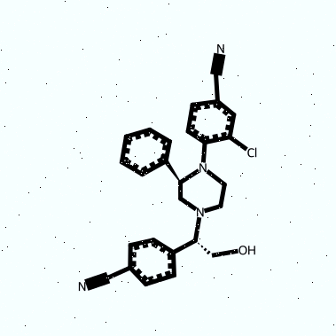 N#Cc1ccc([C@@H](CO)N2CCN(c3ccc(C#N)cc3Cl)[C@H](c3ccccc3)C2)cc1